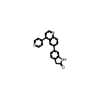 O=C1Cc2ccc(-c3ccc4nccc(-c5ccncc5)c4c3)cc2N1